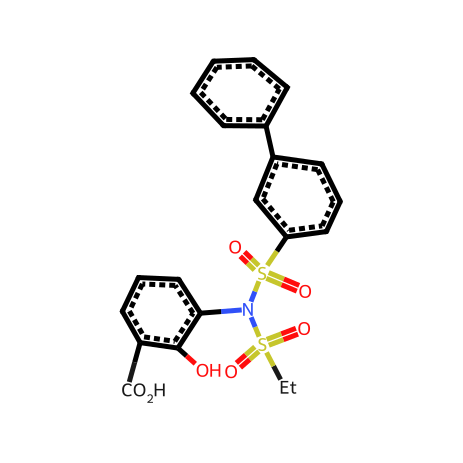 CCS(=O)(=O)N(c1cccc(C(=O)O)c1O)S(=O)(=O)c1cccc(-c2ccccc2)c1